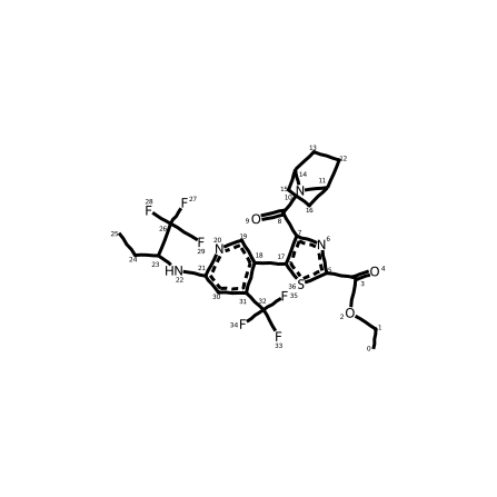 CCOC(=O)c1nc(C(=O)N2C3CCC2CC3)c(-c2cnc(NC(CC)C(F)(F)F)cc2C(F)(F)F)s1